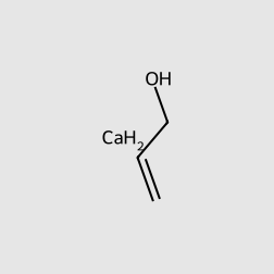 C=CCO.[CaH2]